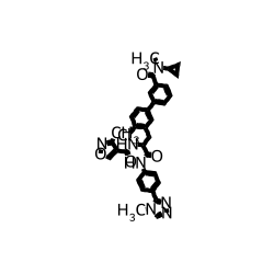 Cc1nocc1C(=O)NC(Cc1cc(-c2cccc(C(=O)N(C)C3CC3)c2)ccc1Cl)C(=O)Nc1ccc(-c2nncn2C)cc1